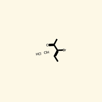 CC=C(Br)C(C)=O.Cl.Cl